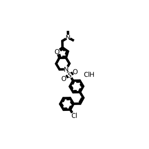 CN(C)Cc1cc2c(o1)CCN(S(=O)(=O)c1ccc(/C=C\c3ccccc3Cl)cc1)C2.Cl